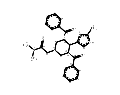 Cc1nc(C2[C@@H](C(=O)c3ccccc3)CN(CC(=O)N(C)C)C[C@@H]2C(=O)c2ccccc2)cs1